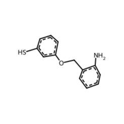 Nc1ccccc1COc1cccc(S)c1